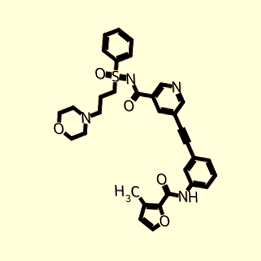 Cc1ccoc1C(=O)Nc1cccc(C#Cc2cncc(C(=O)N=S(=O)(CCCN3CCOCC3)c3ccccc3)c2)c1